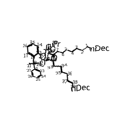 CCCCCCCCCCCCCCCCC[C](=O)[Ti](=[O])([O]c1ccccc1C(C)(C)c1ccccc1)([O]C(C)C)[C](=O)CCCCCCCCCCCCCCCCC